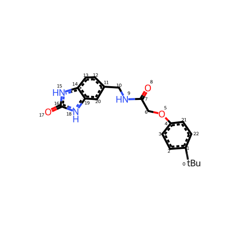 CC(C)(C)c1ccc(OCC(=O)NCc2ccc3[nH]c(=O)[nH]c3c2)cc1